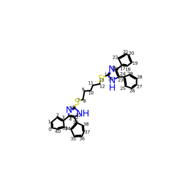 c1ccc(-c2nc(SCCCCCSc3nc(-c4ccccc4)c(-c4ccccc4)[nH]3)[nH]c2-c2ccccc2)cc1